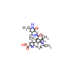 CCCc1cc(C)[nH]c(=O)c1CNC(=O)c1cc(-c2ccc(C(=O)O)nc2)cc2c1c(C)cn2C(C)C